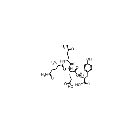 NC(=O)CC[C@H](NC(=O)[C@@H](N)CCC(N)=O)C(=O)N[C@@H](CCC(=O)O)C(=O)O.N[C@@H](Cc1ccc(O)cc1)C(=O)O